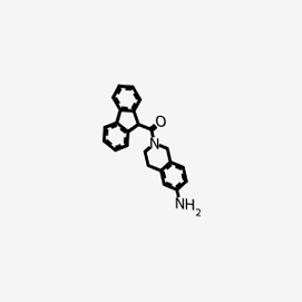 Nc1ccc2c(c1)CCN(C(=O)C1c3ccccc3-c3ccccc31)C2